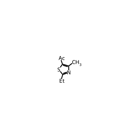 CCc1nc(C)c(C(C)=O)s1